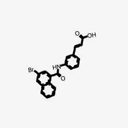 O=C(O)/C=C/c1cccc(NC(=O)c2cc(Br)cc3ccccc23)c1